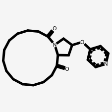 O=C1CCCCCCCCCCCCC(=O)N2CC(Oc3ccncc3)CC12